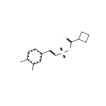 N=C(NS(=O)(=O)/C=C/c1ccc(Cl)c(Cl)c1)C1CCC1